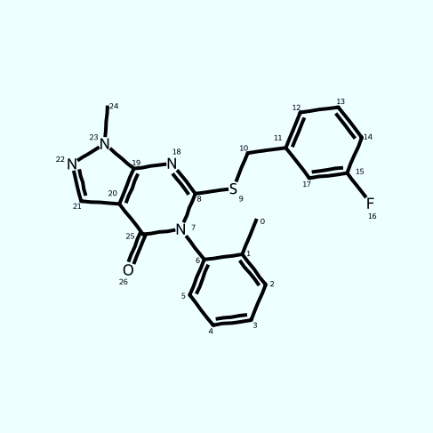 Cc1ccccc1-n1c(SCc2cccc(F)c2)nc2c(cnn2C)c1=O